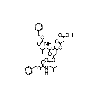 CC(C)[C@H](NC(=O)OCc1ccccc1)C(=O)OCCC(OC(=O)CC(=O)O)OC(=O)[C@@H](NC(=O)OCc1ccccc1)C(C)C